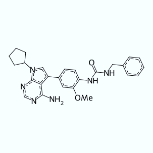 COc1cc(-c2cn(C3CCCC3)c3ncnc(N)c23)ccc1NC(=O)NCc1ccccc1